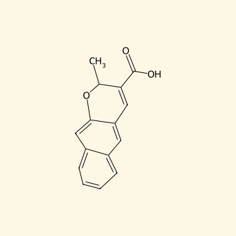 CC1Oc2cc3ccccc3cc2C=C1C(=O)O